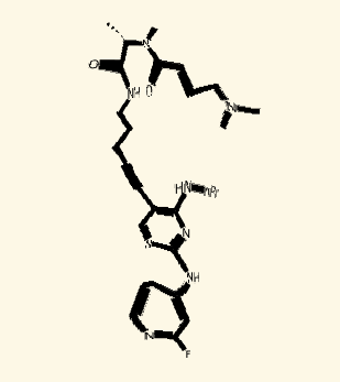 CCCNc1nc(Nc2ccnc(F)c2)ncc1C#CCCCNC(=O)[C@H](C)N(C)C(=O)C=CCN(C)C